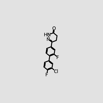 O=C1CCC(c2ccc(-c3ccc(F)c(Cl)c3)c(F)c2)=NN1